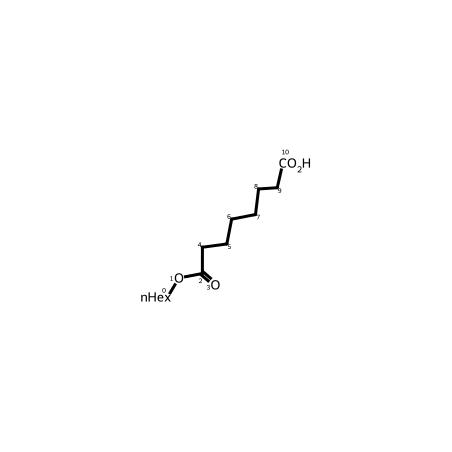 CCCCCCOC(=O)CCCCCCC(=O)O